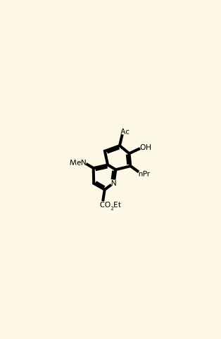 CCCc1c(O)c(C(C)=O)cc2c(NC)cc(C(=O)OCC)nc12